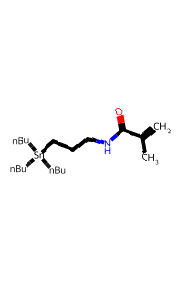 C=C(C)C(=O)NCC[CH2][Sn]([CH2]CCC)([CH2]CCC)[CH2]CCC